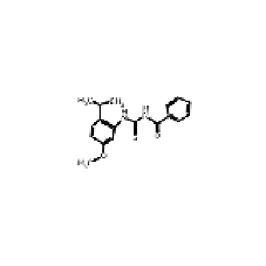 COc1ccc(C(C)C)c(NC(=S)NC(=O)c2ccccc2)c1